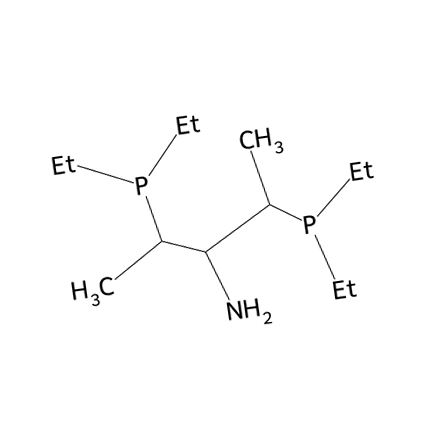 CCP(CC)C(C)C(N)C(C)P(CC)CC